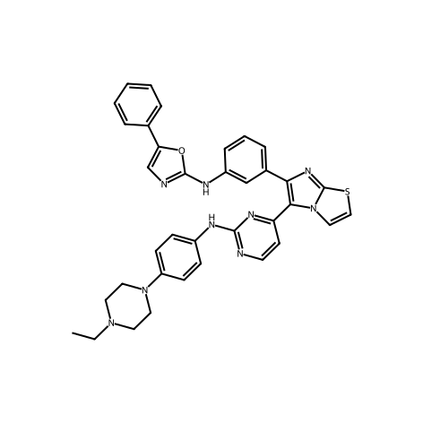 CCN1CCN(c2ccc(Nc3nccc(-c4c(-c5cccc(Nc6ncc(-c7ccccc7)o6)c5)nc5sccn45)n3)cc2)CC1